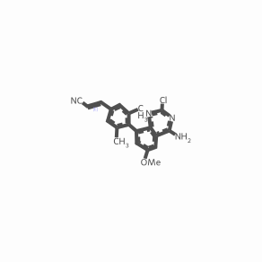 COc1cc(-c2c(C)cc(/C=C/C#N)cc2C)c2nc(Cl)nc(N)c2c1